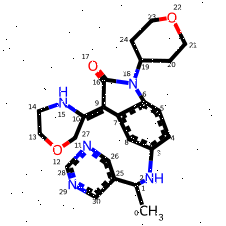 CC(Nc1ccc2c(c1)/C(=C1\COCCN1)C(=O)N2C1CCOCC1)c1cncnc1